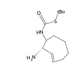 CC(C)(C)SC(=O)NC1CCCC/C=C/[C@@H]1N